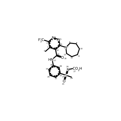 Cc1c(C(F)(F)F)nnc(N2CCCCCC2)c1C(=O)Nc1cccc(S(C)(=O)=NC(=O)O)c1